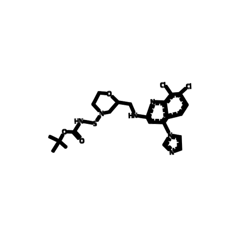 CC(C)(C)OC(=O)NSN1CCOC(CNc2cc(-n3ccnc3)c3ccc(Cl)c(Cl)c3n2)C1